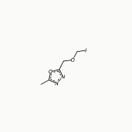 Cc1nnc(COCI)o1